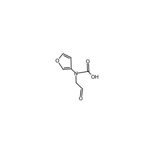 O=CCN(C(=O)O)c1ccoc1